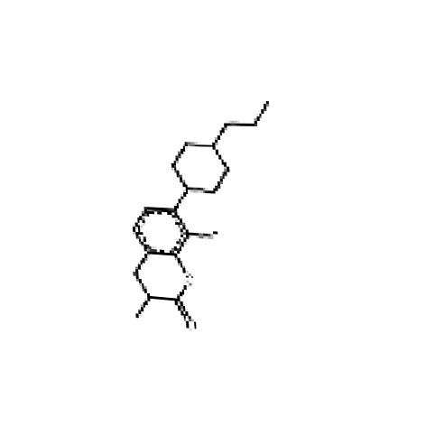 CCCC1CCC(c2ccc3c(c2F)OC(=O)C(C)C3)CC1